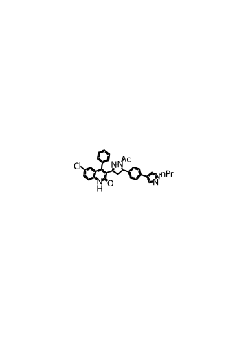 CCCn1cc(-c2ccc(C3CC(c4c(-c5ccccc5)c5cc(Cl)ccc5[nH]c4=O)=NN3C(C)=O)cc2)cn1